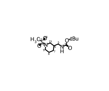 CC(C)(C)OC(=O)NCC1CCCN(S(C)(=O)=O)C1